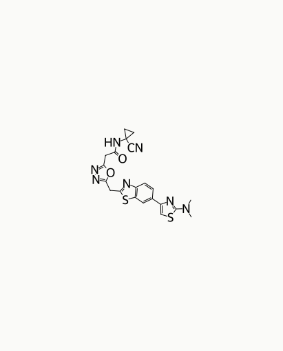 CN(C)c1nc(-c2ccc3nc(Cc4nnc(CC(=O)NC5(C#N)CC5)o4)sc3c2)cs1